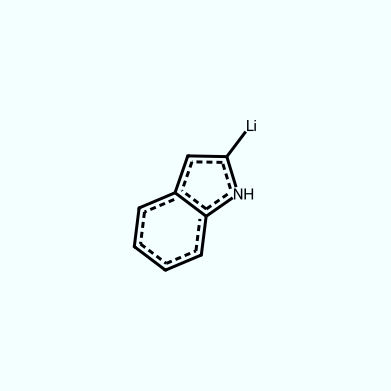 [Li][c]1cc2ccccc2[nH]1